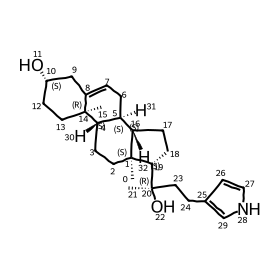 C[C@]12CC[C@H]3[C@@H](CC=C4C[C@@H](O)CC[C@@]43C)[C@@H]1CC[C@@H]2[C@](C)(O)CCc1cc[nH]c1